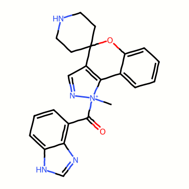 C[N+]1(C(=O)c2cccc3[nH]cnc23)N=CC2=C1c1ccccc1OC21CCNCC1